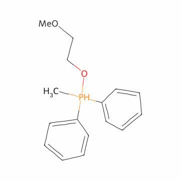 COCCO[PH](C)(c1ccccc1)c1ccccc1